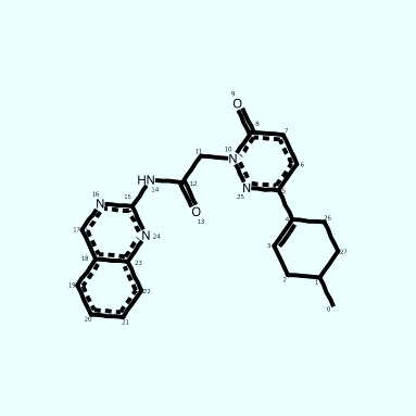 CC1CC=C(c2ccc(=O)n(CC(=O)Nc3ncc4ccccc4n3)n2)CC1